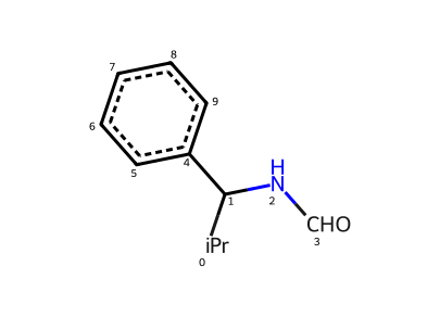 CC(C)C(NC=O)c1ccccc1